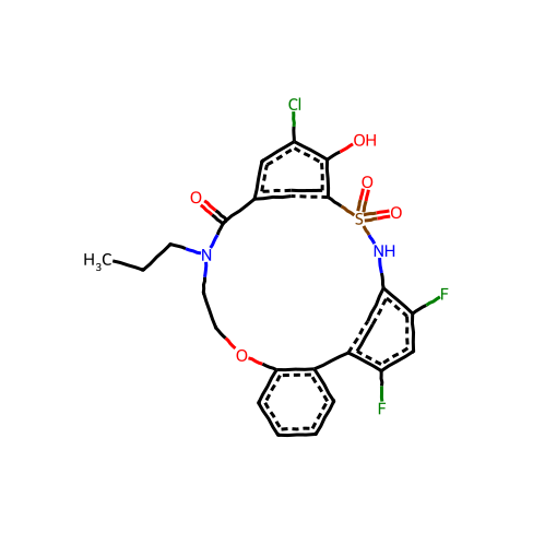 CCCN1CCOc2ccccc2-c2cc(c(F)cc2F)NS(=O)(=O)c2cc(cc(Cl)c2O)C1=O